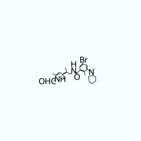 C/C(=C/C(C)=C(\C)CNC(=O)c1cc(Br)cc(N(C)C2CCCCC2)c1C)NC=O